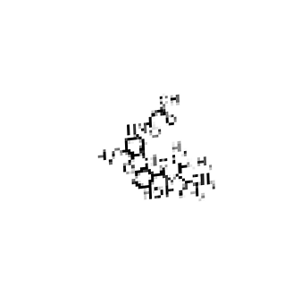 Cc1cc(NC(=O)CC(=O)O)cc(Cl)c1Oc1ccc(O)c(C(=O)NC(C(C)C)C(C)C)c1